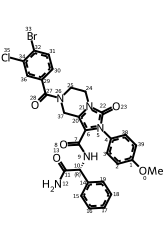 COc1ccc(-n2c(C(=O)N[C@@H](C(N)=O)c3ccccc3)c3n(c2=O)CCN(C(=O)c2ccc(Br)c(Cl)c2)C3)cc1